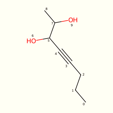 CCCC#CC(O)C(C)O